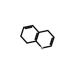 C1=CC2=C(CC1)[N]C=CC2